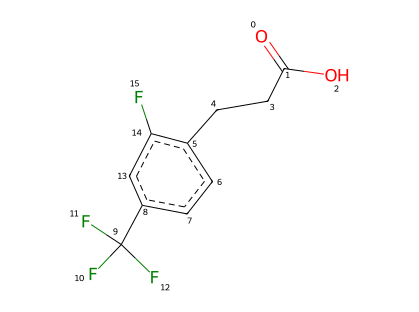 O=C(O)CCc1ccc(C(F)(F)F)cc1F